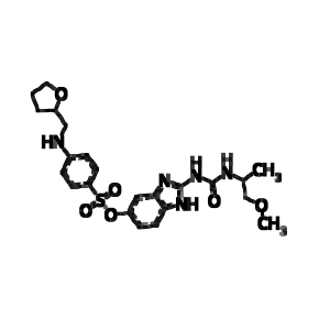 COCC(C)NC(=O)Nc1nc2cc(OS(=O)(=O)c3ccc(NCC4CCCO4)cc3)ccc2[nH]1